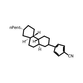 CCCCC[C@@H]1CC[C@H]2[C@@H](CC[C@@H]3CC(c4ccc(C#N)cc4)CC[C@H]32)C1